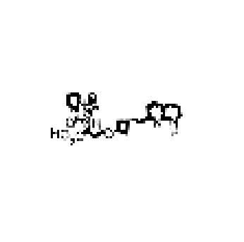 CS(=O)(=O)N1CCC[C@H]1C(=O)NC(CCO[C@H]1C[C@H](CCc2ccc3c(n2)NCCC3)C1)C(=O)O